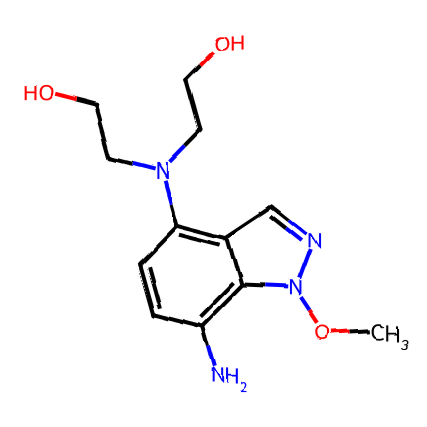 COn1ncc2c(N(CCO)CCO)ccc(N)c21